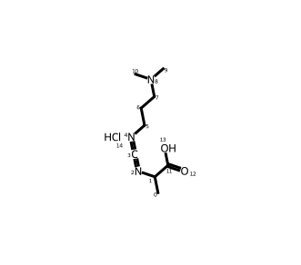 CC(N=C=NCCCN(C)C)C(=O)O.Cl